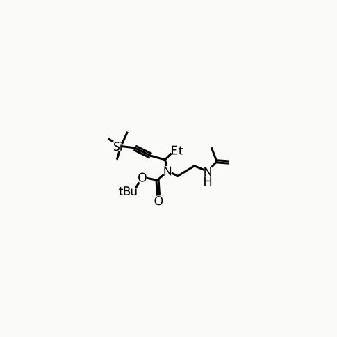 C=C(C)NCCN(C(=O)OC(C)(C)C)C(C#C[Si](C)(C)C)CC